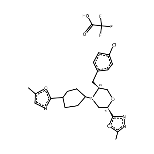 Cc1cnc(C2CCC(N3C[C@H](c4nnc(C)o4)OC[C@@H]3Cc3ccc(Cl)cc3)CC2)o1.O=C(O)C(F)(F)F